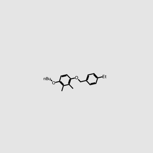 CCCCOc1ccc(OCc2ccc(CC)cc2)c(C)c1C